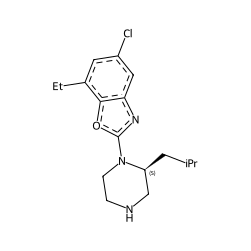 CCc1cc(Cl)cc2nc(N3CCNC[C@@H]3CC(C)C)oc12